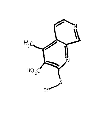 CCSc1nc2cnccc2c(C)c1C(=O)O